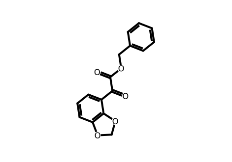 O=C(OCc1ccccc1)C(=O)c1cccc2c1OCO2